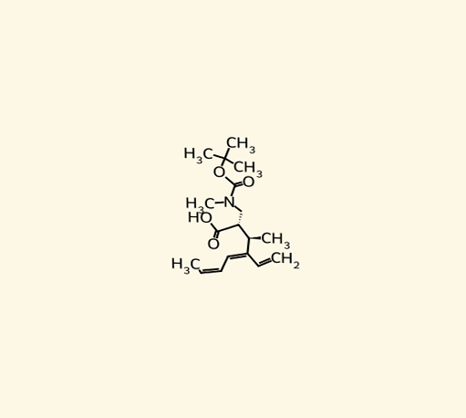 C=C/C(=C\C=C/C)[C@H](C)[C@@H](CN(C)C(=O)OC(C)(C)C)C(=O)O